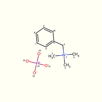 C[N+](C)(C)Cc1ccccc1.[O-][I+3]([O-])([O-])[O-]